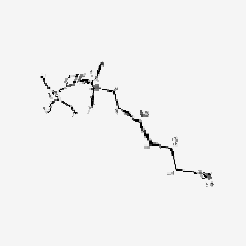 C[Si](C)(C)O[Si](C)(C)CCCCCCBr